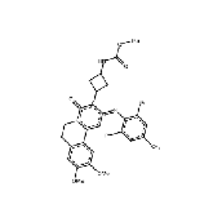 COc1cc2c(cc1OC)-c1c/c(=N\c3c(C(C)C)cc(C)cc3C(C)C)n(C3CC(NC(=O)OC(C)(C)C)C3)c(=O)n1CC2